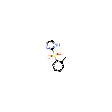 Cc1ccccc1S(=O)(=O)c1ncc[nH]1